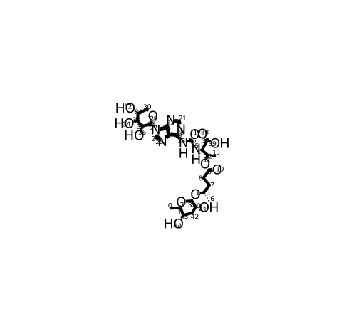 CC1O[C@H](O[C@@H](C)CCC(=O)O[C@H](C)[C@H](NC(=O)Nc2ncnc3c2ncn3[C@@H]2OC[C@@H](O)C(O)[C@@H]2O)C(=O)O)[C@H](O)C[C@@H]1O